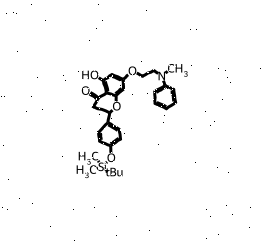 CN(CCOc1cc(O)c2c(c1)OC(c1ccc(O[Si](C)(C)C(C)(C)C)cc1)CC2=O)c1ccccc1